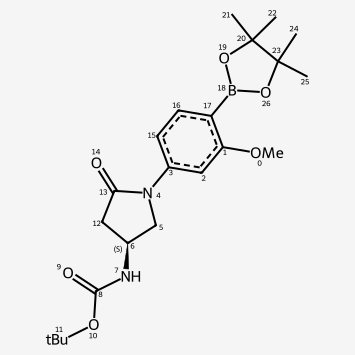 COc1cc(N2C[C@@H](NC(=O)OC(C)(C)C)CC2=O)ccc1B1OC(C)(C)C(C)(C)O1